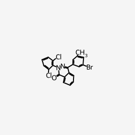 Cc1cc(Br)cc(-c2nn(-c3c(Cl)cccc3Cl)c(=O)c3ccccc23)c1